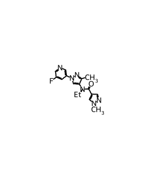 CCN(C(=O)c1cnn(C)c1)c1cn(-c2cncc(F)c2)nc1C